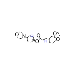 C=C(/C=C\[C@@H](C)OC(=O)/C=C/C1=CCCC2(C1)OCCO2)N1CCOCC1